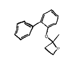 CC1(Oc2ccccc2-c2ccccc2)CCO1